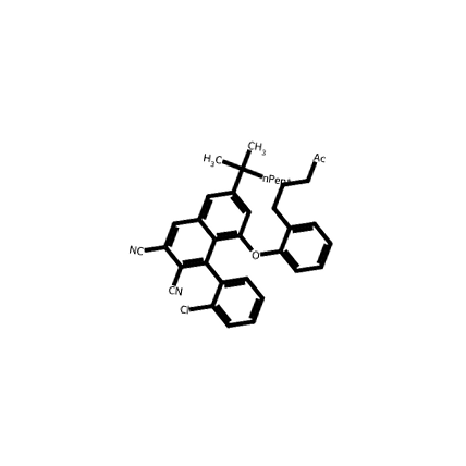 CCCCCC(C)(C)c1cc(Oc2ccccc2CCCC(C)=O)c2c(-c3ccccc3Cl)c(C#N)c(C#N)cc2c1